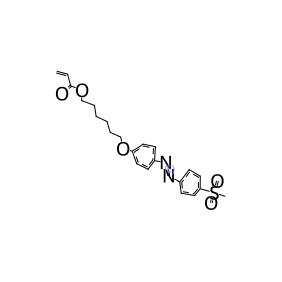 C=CC(=O)OCCCCCCOc1ccc(/N=N/c2ccc(S(C)(=O)=O)cc2)cc1